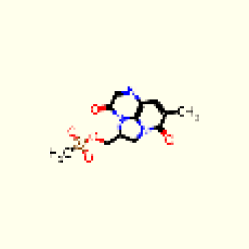 Cc1cc2ncc(=O)n3c2n(c1=O)CC3COS(C)(=O)=O